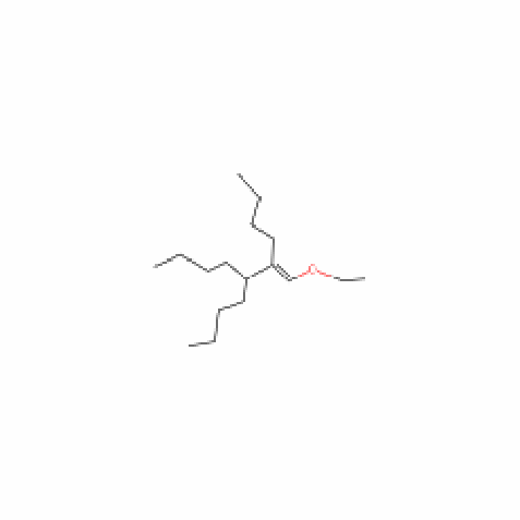 CCCC/C(=[C]\OCC)C(CCCC)CCCC